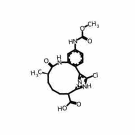 COC(=O)Nc1ccc2c(c1)NC(=O)[C@H](C)CCCC(C(=O)O)c1nc-2c(Cl)[nH]1